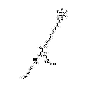 NCCOCCOCCC(=O)NCCCCC(NC(=O)CCCNC=O)C(=O)NCCOCCOCCOCCOCCC(=O)Oc1c(F)c(F)c(F)c(F)c1F